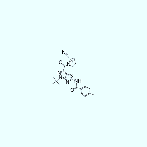 Cc1ccc(C(=O)Nc2nc3c(s2)c(C(=O)N2CCC[C@H]2C#N)nn3C(C)(C)C)cc1